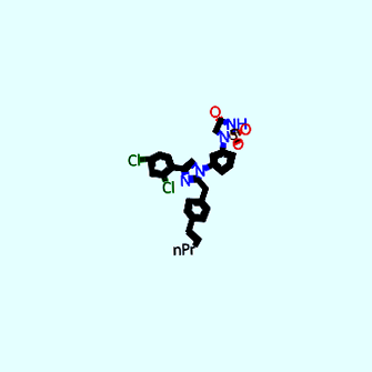 CCCC=Cc1ccc(Cc2nc(-c3ccc(Cl)cc3Cl)cn2-c2cccc(N3CC(=O)NS3(=O)=O)c2)cc1